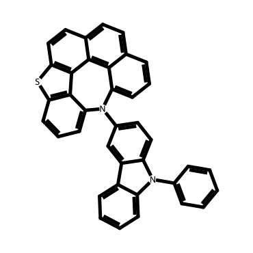 c1ccc(-n2c3ccccc3c3cc(-n4c5cccc6ccc7ccc8sc9cccc4c9c8c7c65)ccc32)cc1